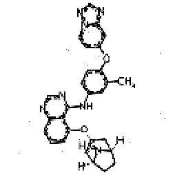 Cc1cc(Nc2ncnc3cccc(O[C@@H]4C[C@H]5CC[C@@H](C4)N5C)c23)ccc1Oc1ccn2ncnc2c1